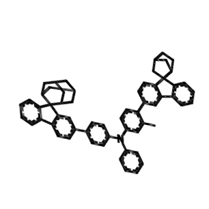 Cc1cc(N(c2ccccc2)c2ccc(-c3ccc4c(c3)C3(c5ccccc5-4)C4CC5CC(C4)CC3C5)cc2)ccc1-c1ccc2c(c1)-c1ccccc1C21CC2CCC1C2